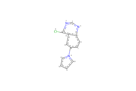 Clc1ncnc2ccc(-n3cccc3)cc12